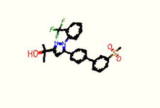 CC(C)(O)c1cc(-c2ccc(-c3cccc(S(C)(=O)=O)c3)cc2)n(-c2ccccc2C(F)(F)F)n1